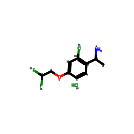 CC(N)c1ccc(OCC(F)F)cc1Cl.Cl